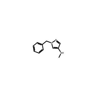 CNc1cnn(Cc2ccccc2)c1